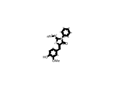 CCC/N=C1\S/C(=C\c2ccc(O)c(OC)c2)C(=O)N1c1ccccc1